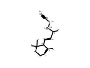 CC1=CCCC(C)(C)C1C=CC(C)NSC#N